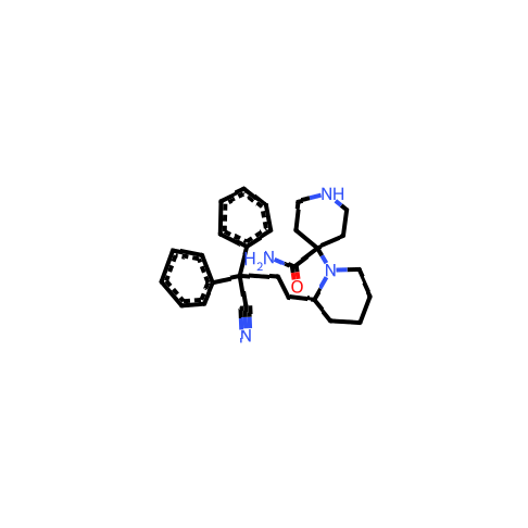 N#CC(CCC1CCCCN1C1(C(N)=O)CCNCC1)(c1ccccc1)c1ccccc1